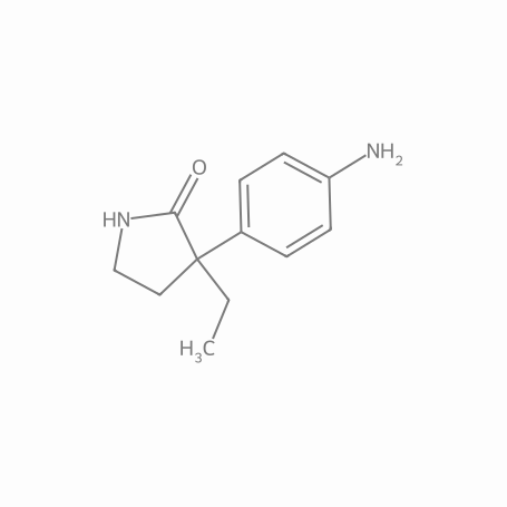 CCC1(c2ccc(N)cc2)CCNC1=O